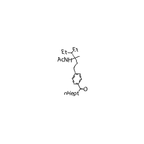 CCCCCCCC(=O)c1ccc(CCC(C)(NC(C)=O)C(CC)CC)cc1